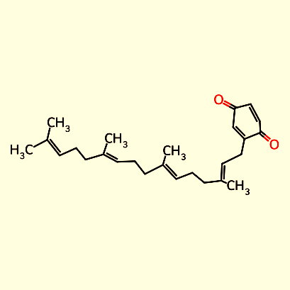 CC(C)=CCC/C(C)=C/CC/C(C)=C/CC/C(C)=C/CC1=CC(=O)C=CC1=O